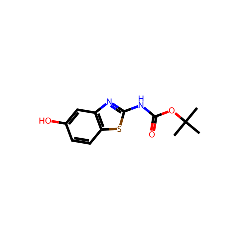 CC(C)(C)OC(=O)Nc1nc2cc(O)ccc2s1